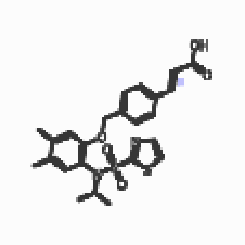 Cc1cc(OCc2ccc(/C=C/C(=O)O)cc2)c(N(C(C)C)S(=O)(=O)c2nccs2)cc1C